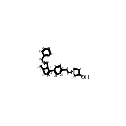 OC1CCN(CCc2ccc(C3=CCC4CN(Cc5ccccc5)CC34)cc2)C1